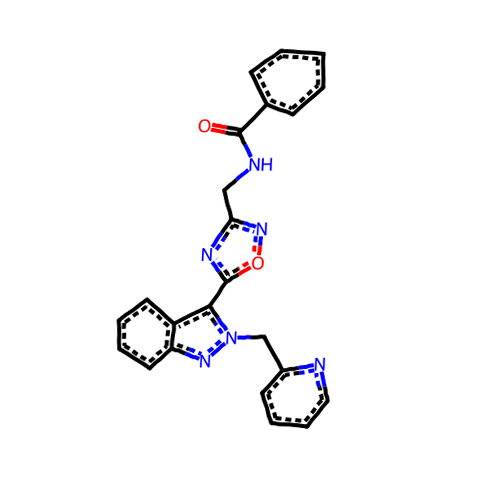 O=C(NCc1noc(-c2c3ccccc3nn2Cc2ccccn2)n1)c1ccccc1